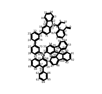 C=Cc1ccccc1/C(=C\C)n1c2ccccc2c2cc(-c3cccc(-c4cccc(N(c5ccc6c(c5)C5(c7ccccc7-c7ccccc75)c5ccccc5-6)c5ccc(-c6ccccc6)c6ccccc56)c4)c3)ccc21